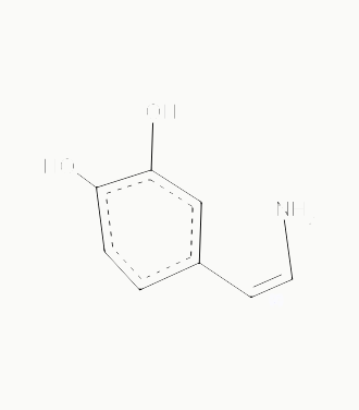 N/C=C\c1ccc(O)c(O)c1